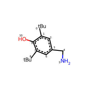 CC(C)(C)c1cc(CN)cc(C(C)(C)C)c1O